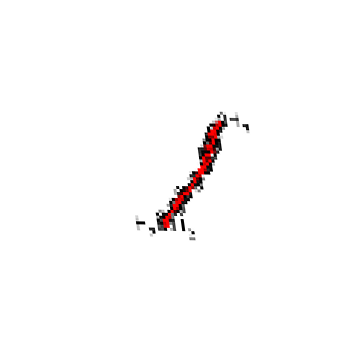 C=C(C)C(=O)OCCCCCC(=O)OCCCCCC(=O)OCCCCCC(=O)OCCCCCCO[C@H]1CC[C@H](C(=O)Oc2ccc(OC(=O)c3ccc(OCCCCCC)cc3)cc2)CC1